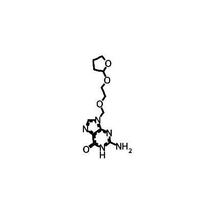 Nc1nc2c(ncn2COCCOC2CCCO2)c(=O)[nH]1